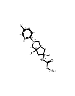 CC(C)(C)OC(=O)N[C@@]1(C)CC2CN(c3ccc(I)cn3)C[C@H]2C1